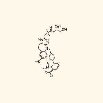 CCNC1C(c2ccc(CN3C(=O)[C@H](NC(=O)CC(C)(C)NC[C@H](O)CO)CCc4cc(SC)ccc43)cc2)=CC=CC1=S(=O)=O